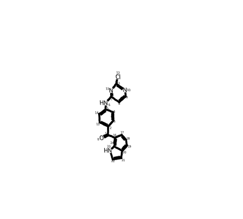 O=C(c1ccc(Nc2ccnc(Cl)n2)cc1)c1cccc2cc[nH]c12